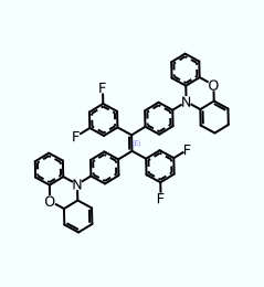 Fc1cc(F)cc(/C(=C(\c2ccc(N3c4ccccc4OC4C=CC=CC43)cc2)c2cc(F)cc(F)c2)c2ccc(N3C4=CCCC=C4Oc4ccccc43)cc2)c1